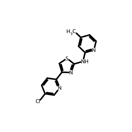 Cc1ccnc(Nc2nc(-c3ccc(Cl)cn3)cs2)c1